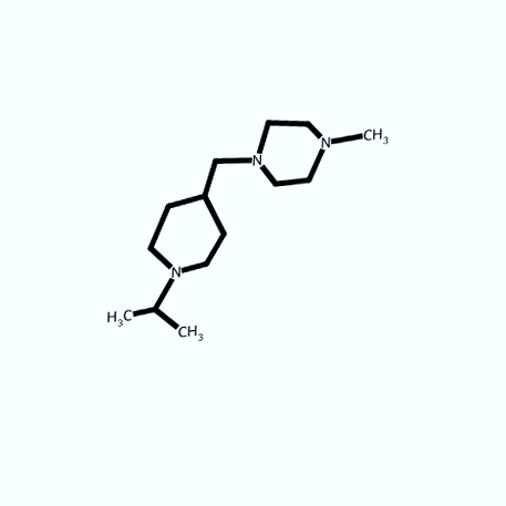 CC(C)N1CCC(CN2CCN(C)CC2)CC1